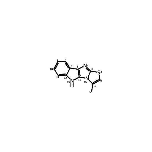 Cc1csc2nc3c4ccccc4[nH]c3n12